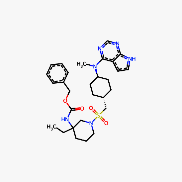 CCC1(NC(=O)OCc2ccccc2)CCCN(S(=O)(=O)C[C@H]2CC[C@H](N(C)c3ncnc4[nH]ccc34)CC2)C1